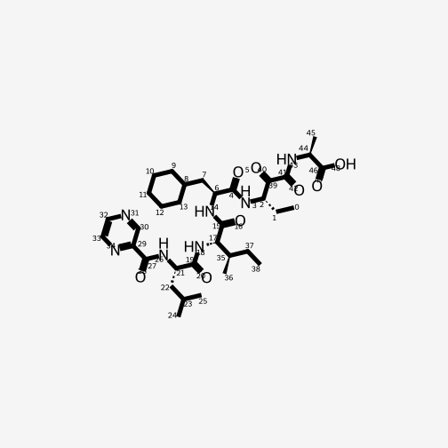 CC[C@H](NC(=O)[C@H](CC1CCCCC1)NC(=O)[C@@H](NC(=O)[C@H](CC(C)C)NC(=O)c1cnccn1)[C@H](C)CC)C(=O)C(=O)N[C@@H](C)C(=O)O